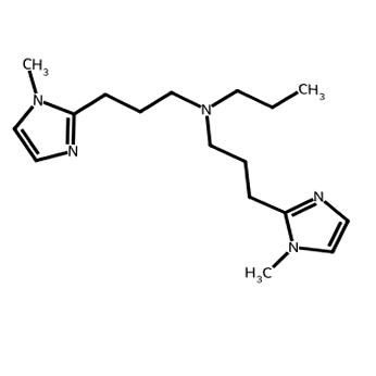 CCCN(CCCc1nccn1C)CCCc1nccn1C